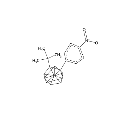 CC(C)(C)[C]12[CH]3[CH]4[CH]5[C]1(c1ccc([N+](=O)[O-])cc1)[Fe]45321678[CH]2[CH]1[CH]6[CH]7[CH]28